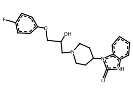 O=c1[nH]c2ccccc2n1C1CCN(CC(O)COc2ccc(F)cc2)CC1